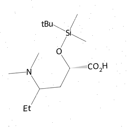 CCC(C[C@H](O[Si](C)(C)C(C)(C)C)C(=O)O)N(C)C